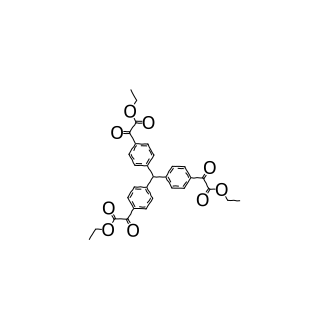 CCOC(=O)C(=O)c1ccc(C(c2ccc(C(=O)C(=O)OCC)cc2)c2ccc(C(=O)C(=O)OCC)cc2)cc1